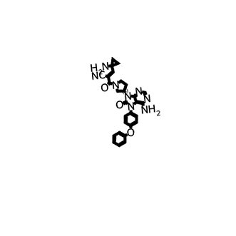 N#CC(=CC1(N)CC1)C(=O)N1CC[C@H](n2c(=O)n(-c3ccc(Oc4ccccc4)cc3)c3c(N)ncnc32)C1